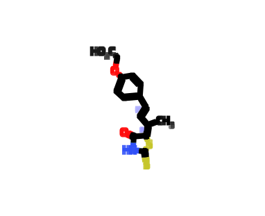 CC(/C=C/c1ccc(OCC(=O)O)cc1)=C1\SC(=S)NC1=O